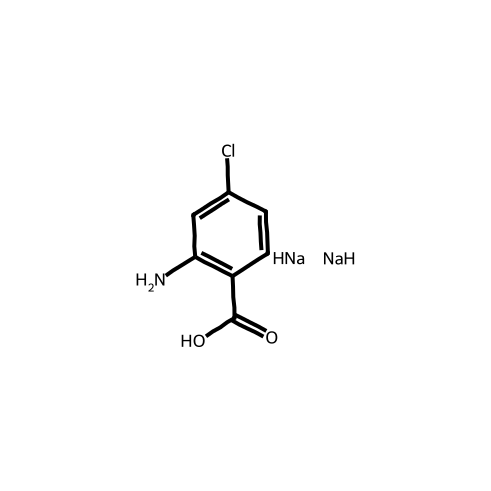 Nc1cc(Cl)ccc1C(=O)O.[NaH].[NaH]